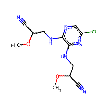 COC(C#N)CNc1ncc(Cl)nc1NCC(C#N)OC